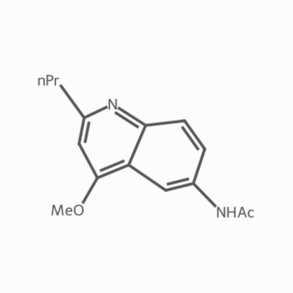 CCCc1cc(OC)c2cc(NC(C)=O)ccc2n1